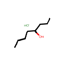 CCCCC(O)CCC.Cl